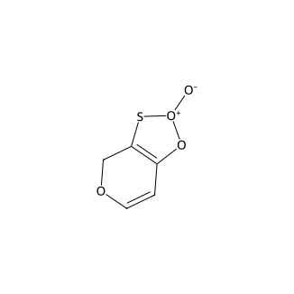 [O-][O+]1OC2=C(COC=C2)S1